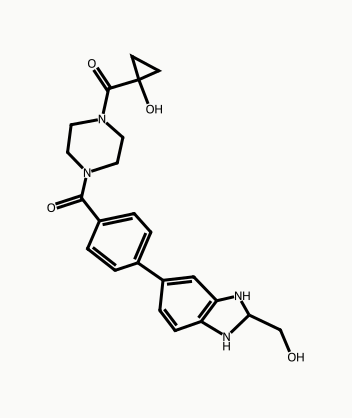 O=C(c1ccc(-c2ccc3c(c2)NC(CO)N3)cc1)N1CCN(C(=O)C2(O)CC2)CC1